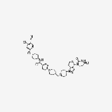 N#Cc1ccc(O[C@H]2CC[C@H](NC(=O)c3ccc(N4CCC(CN5CCC(n6ncc7c(N8CCC(=O)NC8=O)nccc76)CC5)CC4)cc3)CC2)cc1Cl